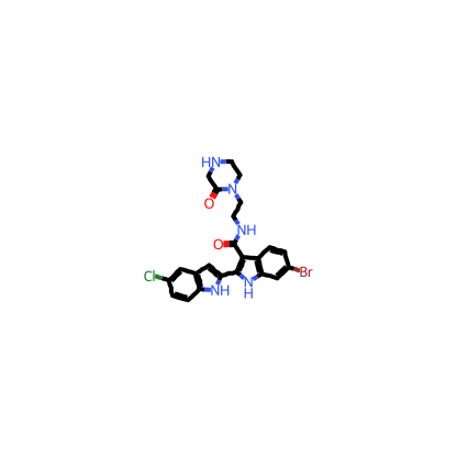 O=C(NCCN1CCNCC1=O)c1c(-c2cc3cc(Cl)ccc3[nH]2)[nH]c2cc(Br)ccc12